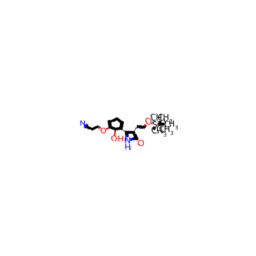 CC(C)(C)[Si](C)(C)OCC[C@@H]1C(=O)NC1[C@H]1CCC[C@H](OCCC#N)[C@@H]1O